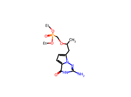 CCOP(=O)(COC(C)Cc1ccc2c(=O)[nH]c(N)nn12)OCC